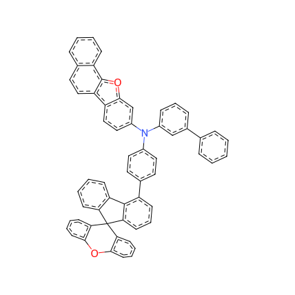 c1ccc(-c2cccc(N(c3ccc(-c4cccc5c4-c4ccccc4C54c5ccccc5Oc5ccccc54)cc3)c3ccc4c(c3)oc3c5ccccc5ccc43)c2)cc1